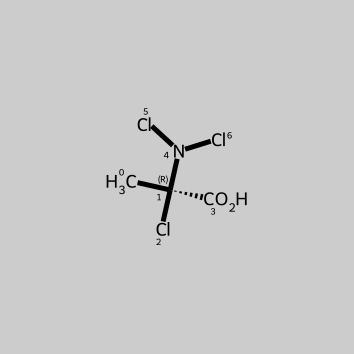 C[C@@](Cl)(C(=O)O)N(Cl)Cl